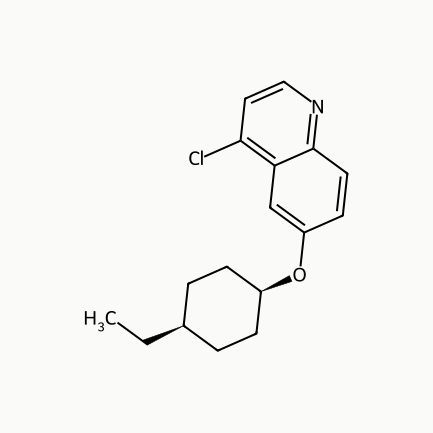 CC[C@H]1CC[C@@H](Oc2ccc3nccc(Cl)c3c2)CC1